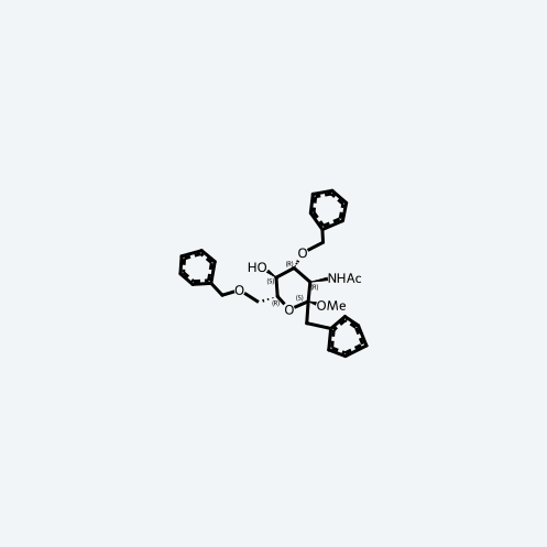 CO[C@@]1(Cc2ccccc2)O[C@H](COCc2ccccc2)[C@@H](O)[C@H](OCc2ccccc2)[C@H]1NC(C)=O